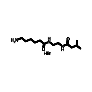 Br.CC(C)CC(=O)NCCNC(=O)CCCCCN